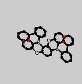 c1ccc(-c2ccccc2B2c3ccccc3Oc3c2ccc2c3B(c3ccccc3-c3ccccc3)c3ccccc3O2)cc1